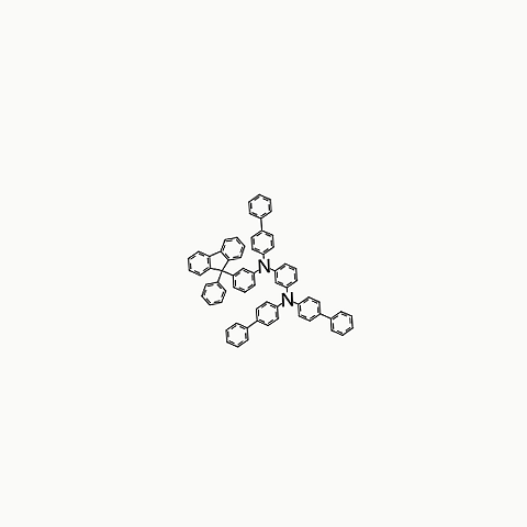 c1ccc(-c2ccc(N(c3ccc(-c4ccccc4)cc3)c3cccc(N(c4ccc(-c5ccccc5)cc4)c4cccc(C5(c6ccccc6)c6ccccc6-c6ccccc65)c4)c3)cc2)cc1